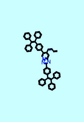 C=C/C=C\c1cc2nc(-c3ccc(C(=C(c4ccccc4)c4ccccc4)c4ccccc4)cc3)nn2cc1-c1ccc(C(=C(c2ccccc2)c2ccccc2)c2ccccc2)cc1